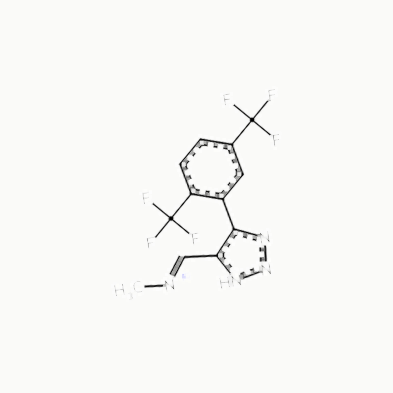 C/N=C/c1[nH]nnc1-c1cc(C(F)(F)F)ccc1C(F)(F)F